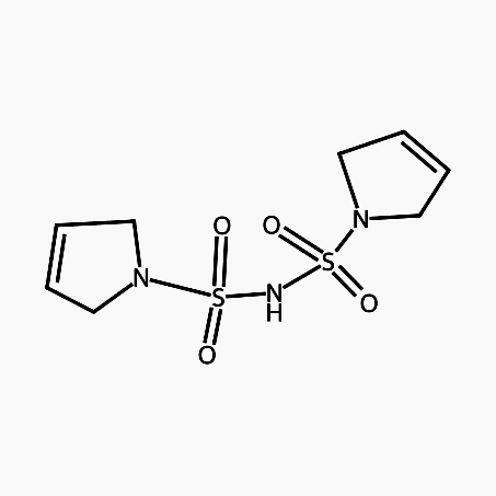 O=S(=O)(NS(=O)(=O)N1CC=CC1)N1CC=CC1